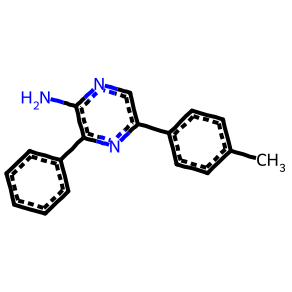 Cc1ccc(-c2cnc(N)c(-c3ccccc3)n2)cc1